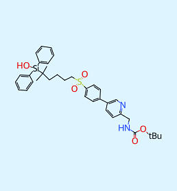 CC(C)(C)OC(=O)NCc1ccc(-c2ccc(S(=O)(=O)CCCCC(C)(C)[Si](O)(c3ccccc3)c3ccccc3)cc2)cn1